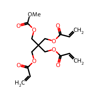 C=CC(=O)OCC(COC(=O)C=C)(COC(=O)C=C)COC(=O)OC